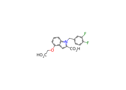 O=C(O)COc1cccc2c1cc(C(=O)O)n2Cc1ccc(F)c(F)c1